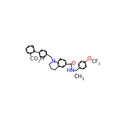 C[C@H](NC(=O)c1ccc2c(c1)CCCN2Cc1ccc(-c2ccccc2C(=O)O)cc1)c1ccc(OC(F)(F)F)cc1